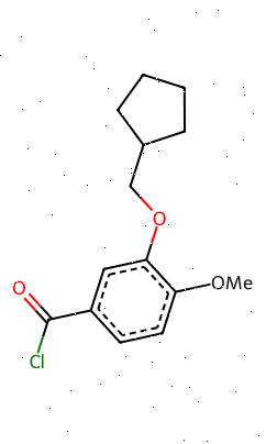 COc1ccc(C(=O)Cl)cc1OCC1CCCC1